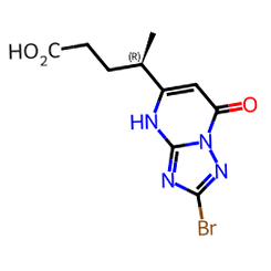 C[C@H](CCC(=O)O)c1cc(=O)n2nc(Br)nc2[nH]1